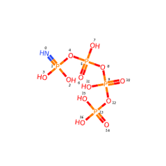 N=P(O)(O)OP(=O)(O)OP(=O)(O)OP(=O)(O)O